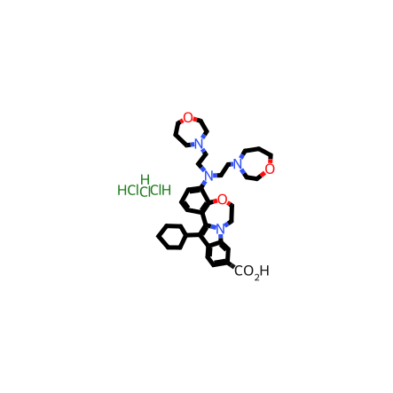 Cl.Cl.Cl.O=C(O)c1ccc2c(C3CCCCC3)c3n(c2c1)CCOc1c-3cccc1N(CCN1CCCOCC1)CCN1CCCOCC1